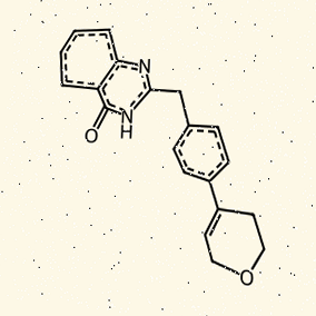 O=c1[nH]c(Cc2ccc(C3=CCOCC3)cc2)nc2ccccc12